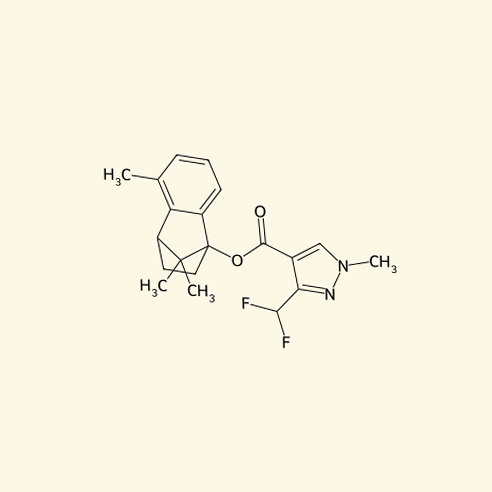 Cc1cccc2c1C1CCC2(OC(=O)c2cn(C)nc2C(F)F)C1(C)C